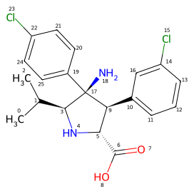 CC(C)[C@@H]1N[C@@H](C(=O)O)[C@H](c2cccc(Cl)c2)[C@@]1(N)c1ccc(Cl)cc1